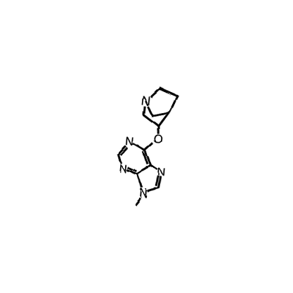 Cn1cnc2c(OC3CN4CCC3C4)ncnc21